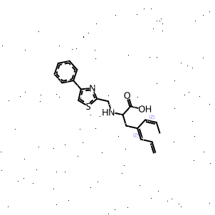 C=C/C=C(\C=C/C)CC(NCc1nc(-c2ccccc2)cs1)C(=O)O